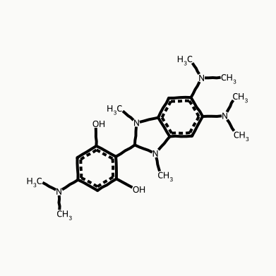 CN(C)c1cc(O)c(C2N(C)c3cc(N(C)C)c(N(C)C)cc3N2C)c(O)c1